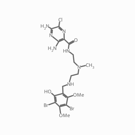 COc1c(Br)c(O)c(CNCCN(C)CCNC(=O)c2nc(Cl)c(N)nc2N)c(OC)c1Br